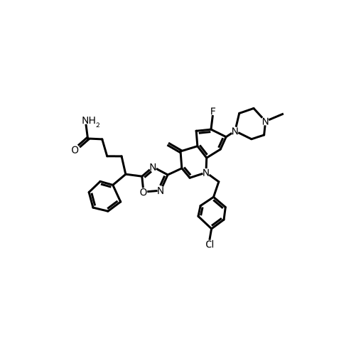 C=C1C(c2noc(C(CCCC(N)=O)c3ccccc3)n2)=CN(Cc2ccc(Cl)cc2)c2cc(N3CCN(C)CC3)c(F)cc21